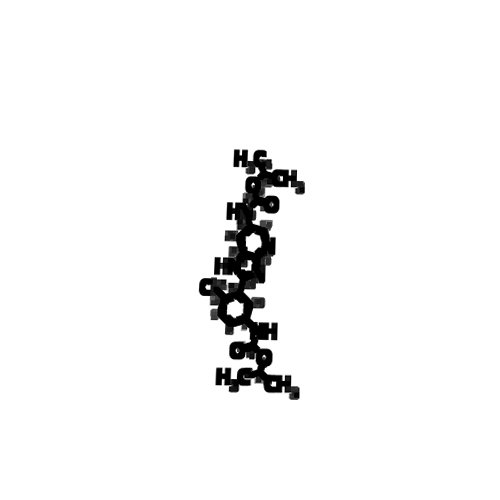 CC(C)OC(=O)Nc1ccc(Cl)c(-c2nc3ncc(NC(=O)OC(C)C)cc3[nH]2)c1